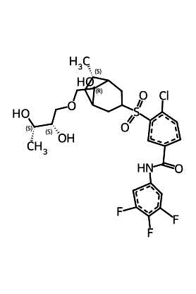 C[C@H](O)[C@@H](O)COC[C@@]1(O)C2CC(S(=O)(=O)c3cc(C(=O)Nc4cc(F)c(F)c(F)c4)ccc3Cl)CC1[C@@H](C)C2